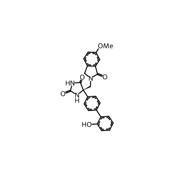 COc1ccc2c(c1)C(=O)N(C[C@@]1(c3ccc(-c4ccccc4O)cc3)NC(=O)NC1=O)C2